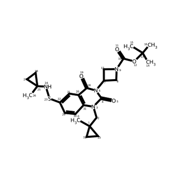 CC1(Cn2c(=O)n(C3CN(C(=O)OC(C)(C)C)C3)c(=O)c3cc(SNC4(C)CC4)ccc32)CC1